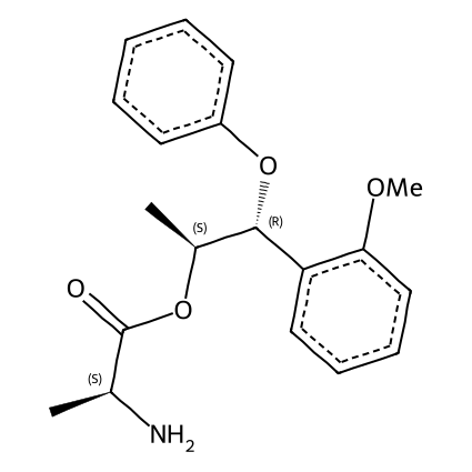 COc1ccccc1[C@@H](Oc1ccccc1)[C@H](C)OC(=O)[C@H](C)N